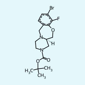 CC(C)(C)OC(=O)N1CCN2Cc3ccc(Br)c(F)c3OC[C@H]2C1